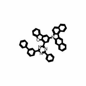 c1ccc(-c2cccc(-c3nc(-c4ccccc4)nc(-c4cc(-n5c6cc7ccccc7cc6c6c7ccccc7ccc65)cc5c4oc4ccccc45)n3)c2)cc1